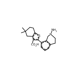 CC1(C)CCc2sc(-c3cccc4c3CN(N)CC4)c(C(=O)O)c2C1